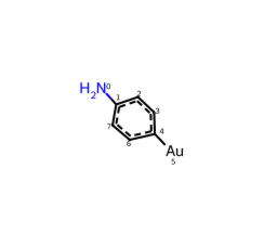 Nc1cc[c]([Au])cc1